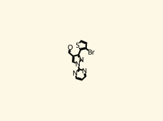 O=Cc1cn(-c2ncccn2)nc1-c1sccc1Br